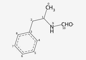 CC(Cc1ccccc1)N[C]=O